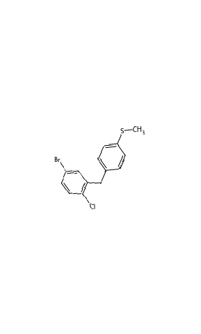 CSc1ccc(Cc2cc(Br)ccc2Cl)cc1